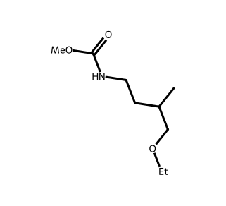 CCOCC(C)CCNC(=O)OC